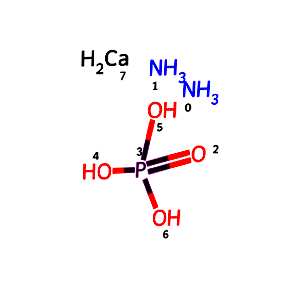 N.N.O=P(O)(O)O.[CaH2]